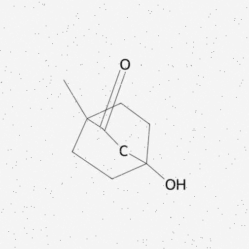 CC12CCC(O)(CC1)CC2=O